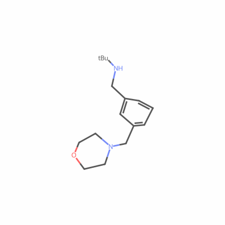 CC(C)(C)NCc1cccc(CN2CCOCC2)c1